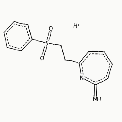 N=c1ccccc(CCS(=O)(=O)c2ccccc2)n1.[H+]